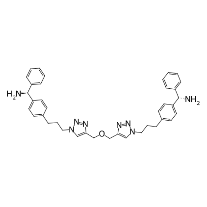 N[C@@H](c1ccccc1)c1ccc(CCCn2cc(COCc3cn(CCCc4ccc([C@@H](N)c5ccccc5)cc4)nn3)nn2)cc1